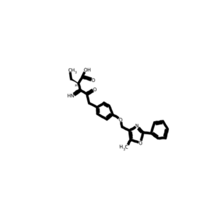 CC[C@H](C(=N)C(=O)Cc1ccc(OCc2nc(-c3ccccc3)oc2C)cc1)C(=O)O